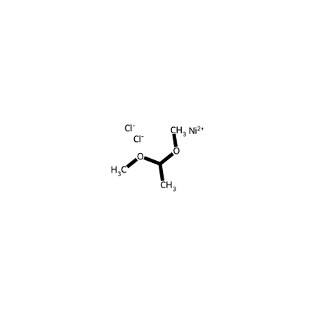 COC(C)OC.[Cl-].[Cl-].[Ni+2]